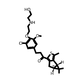 COc1cc(CCC(=O)c2sc(C)c3c2C[C@@H]2[C@H]3C2(C)C)cc(Cl)c1OCCNCCO